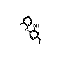 CCc1ccc(Oc2ccccc2C)c(O)c1